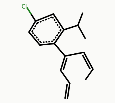 C=C/C=C(\C=C/C)c1ccc(Cl)cc1C(C)C